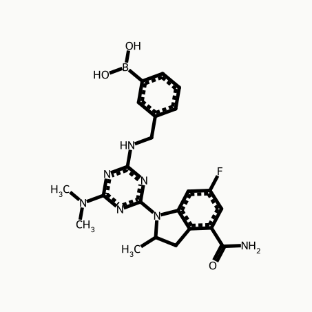 CC1Cc2c(C(N)=O)cc(F)cc2N1c1nc(NCc2cccc(B(O)O)c2)nc(N(C)C)n1